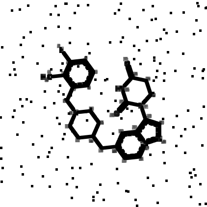 Cc1c(F)cccc1CN1CCC(Cc2ccn3ncc(N4CCC(=O)NC4=O)c3c2)CC1